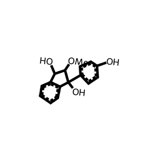 COC1C(O)c2ccccc2C1(O)c1ccc(O)cc1